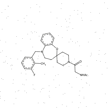 CC(=O)NCC(=O)N1CCC2(CC1)CCN(Cc1cccc(F)c1C)c1ccccc1O2